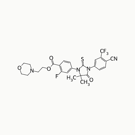 CC1(C)C(=O)N(c2ccc(C#N)c(C(F)(F)F)c2)C(=S)N1c1ccc(C(=O)OCCN2CCOCC2)c(F)c1